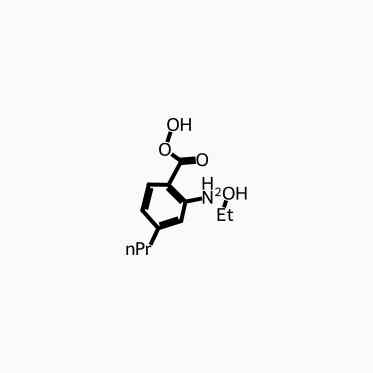 CCCc1ccc(C(=O)OO)c(N)c1.CCO